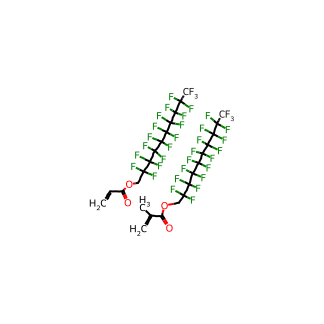 C=C(C)C(=O)OCC(F)(F)C(F)(F)C(F)(F)C(F)(F)C(F)(F)C(F)(F)C(F)(F)C(F)(F)C(F)(F)F.C=CC(=O)OCC(F)(F)C(F)(F)C(F)(F)C(F)(F)C(F)(F)C(F)(F)C(F)(F)C(F)(F)C(F)(F)F